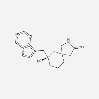 C[C@]1(Cn2ccc3cncnc32)CCCC2(CNC(=O)C2)C1